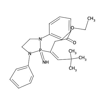 CCOC(=O)C/C(=C\C(C)(C)C)P1(=N)N(c2ccccc2)CCN1c1ccccc1